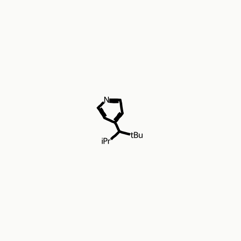 CC(C)C(c1ccncc1)C(C)(C)C